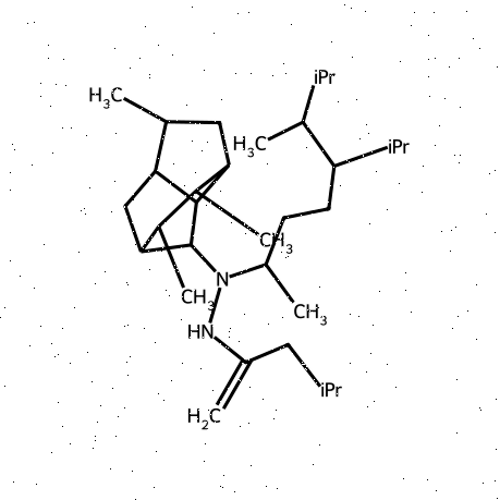 C=C(CC(C)C)NN(C(C)CCC(C(C)C)C(C)C(C)C)C1C2CC3C(C)CC(C(C)C2C)C31